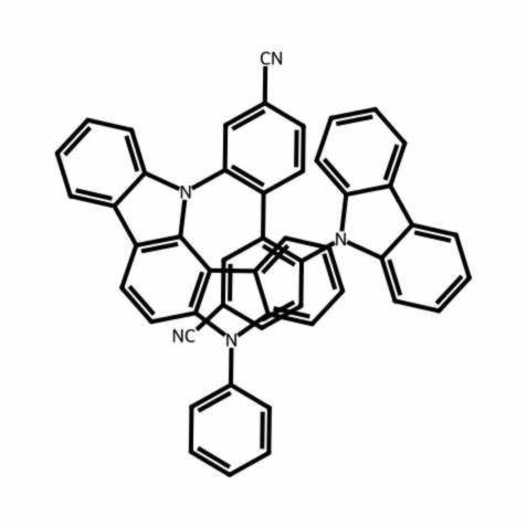 N#Cc1ccc(-n2c3ccccc3c3ccccc32)c(-c2ccc(C#N)cc2-n2c3ccccc3c3ccc4c(c5ccccc5n4-c4ccccc4)c32)c1